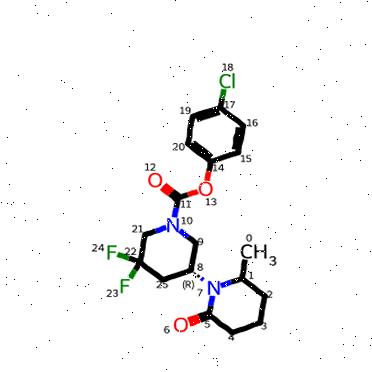 CC1CCCC(=O)N1[C@H]1CN(C(=O)Oc2ccc(Cl)cc2)CC(F)(F)C1